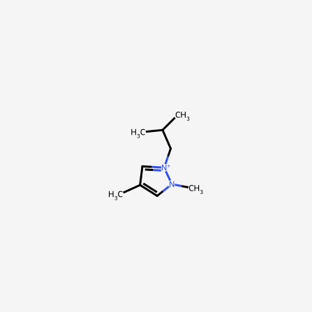 Cc1cn(C)[n+](CC(C)C)c1